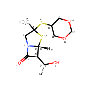 C[C@@H](O)[C@H]1C(=O)N2CC(SC3COCOC3)(C(=O)O)S[C@H]12